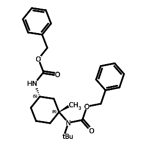 CC(C)(C)N(C(=O)OCc1ccccc1)[C@]1(C)CCC[C@H](NC(=O)OCc2ccccc2)C1